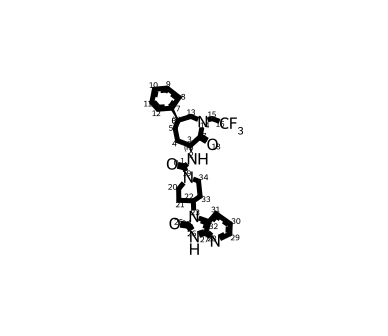 O=C(N[C@@H]1CC[C@@H](c2ccccc2)CN(CC(F)(F)F)C1=O)N1CCC(n2c(=O)[nH]c3ncccc32)CC1